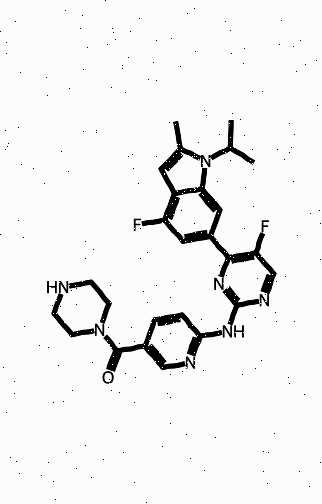 Cc1cc2c(F)cc(-c3nc(Nc4ccc(C(=O)N5CCNCC5)cn4)ncc3F)cc2n1C(C)C